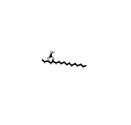 CCCCCCCCCCCCC(CCCC)OC(=O)O